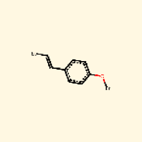 [CH2]CC=Cc1ccc(OCC)cc1